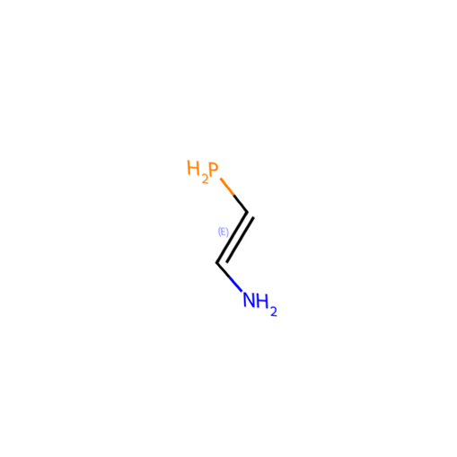 N/C=C/P